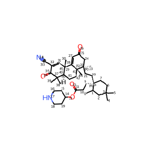 CC1CC(C)(C)CC[C@]1(CCC(=O)OC1CCNCC1)CC[C@]1(C)CC(=O)C=C2[C@@]3(C)C=C(C#N)C(=O)C(C)(C)[C@@H]3CC[C@]21C